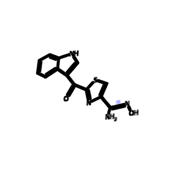 N/C(=N\O)c1csc(C(=O)c2c[nH]c3ccccc23)n1